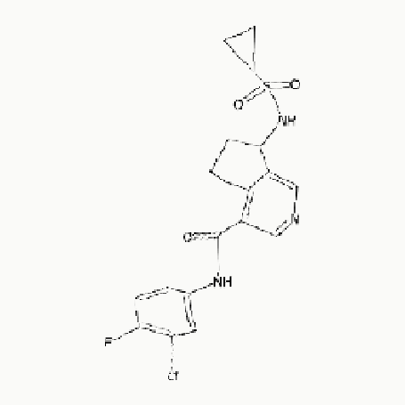 O=C(Nc1ccc(F)c(Cl)c1)c1cncc2c1CCC2NS(=O)(=O)C1CC1